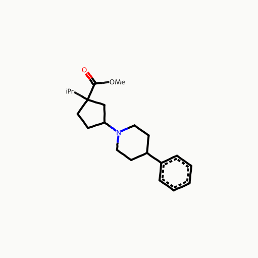 COC(=O)C1(C(C)C)CCC(N2CCC(c3ccccc3)CC2)C1